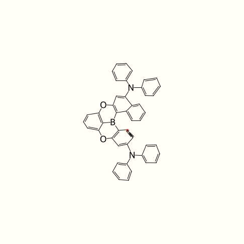 c1ccc(N(c2ccccc2)c2cc3c(c4ccccc24)B2c4c(cccc4Oc4cc(N(c5ccccc5)c5ccccc5)c5ccccc5c42)O3)cc1